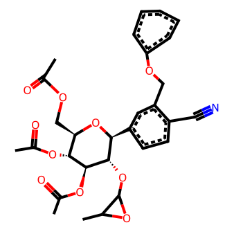 CC(=O)OC[C@H]1O[C@@H](c2ccc(C#N)c(COc3ccccc3)c2)[C@H](OC2OC2C)[C@@H](OC(C)=O)[C@@H]1OC(C)=O